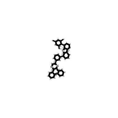 Cc1cc(C)c(-c2cccc3c2sc2c(-c4cccc(-c5cnc6c7ccccc7c7ccccc7c6n5)c4)cccc23)c(C)c1